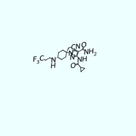 N#CC[C@]1(n2cc(C(N)=O)c(NC(=O)C3CC3)n2)CC[C@@H](NCCC(F)(F)F)CC1